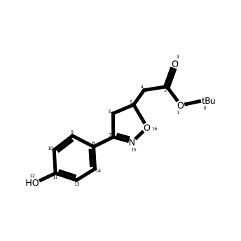 CC(C)(C)OC(=O)CC1CC(c2ccc(O)cc2)=NO1